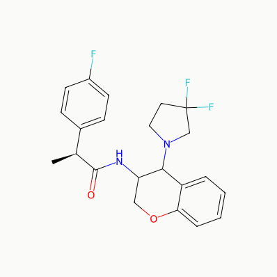 C[C@H](C(=O)NC1COc2ccccc2C1N1CCC(F)(F)C1)c1ccc(F)cc1